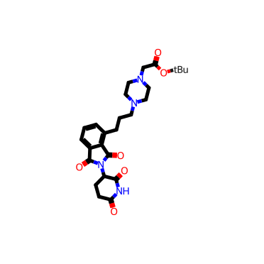 CC(C)(C)OC(=O)CN1CCN(CCCc2cccc3c2C(=O)N(C2CCC(=O)NC2=O)C3=O)CC1